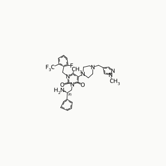 Cc1c(N2CCN(Cc3cnn(C)c3)CC2)c(=O)n(C[C@H](N)c2ccccc2)c(=O)n1Cc1c(F)cccc1C(F)(F)F